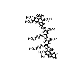 COc1cc(N=Nc2cc(OCCCS(=O)(=O)O)c(N=Nc3c(C)c(C#N)c4nc5ccccc5n4c3O)cc2NC(C)=O)c(SCCCS(=O)(=O)O)cc1N=Nc1nc2c(S(=O)(=O)O)cc3c(OC)c(S(=O)(=O)O)c(S(=O)(=O)O)cc3c2s1